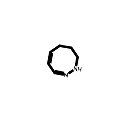 C1=C\CCCN\N=C/1